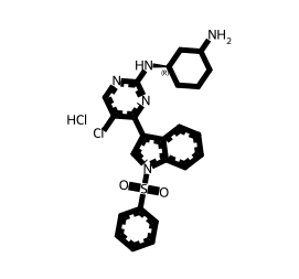 Cl.NC1CCC[C@@H](Nc2ncc(Cl)c(-c3cn(S(=O)(=O)c4ccccc4)c4ccccc34)n2)C1